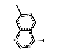 Cc1ccc2c(I)ncnc2c1